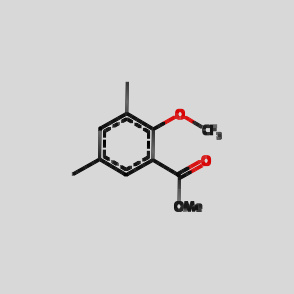 COC(=O)c1cc(C)cc(C)c1OC(F)(F)F